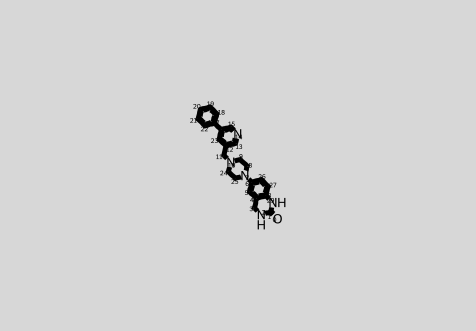 O=C1NCc2cc(N3CCN(Cc4cncc(-c5ccccc5)c4)CC3)ccc2N1